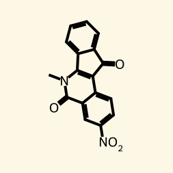 Cn1c2c(c3ccc([N+](=O)[O-])cc3c1=O)C(=O)c1ccccc1-2